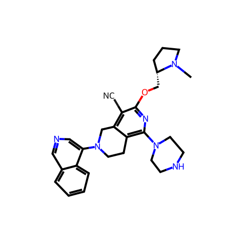 CN1CCC[C@H]1COc1nc(N2CCNCC2)c2c(c1C#N)CN(c1cncc3ccccc13)CC2